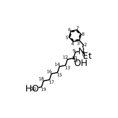 CCN(Cc1ccccc1)CC(O)CCCCCCCCO